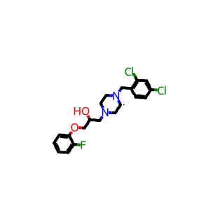 OC(COc1ccccc1F)CN1C[CH]N(Cc2ccc(Cl)cc2Cl)CC1